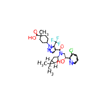 CC1(C(=O)O)CCC(n2ncc(C(=O)N(CC(O)c3ncccc3Cl)C3C[C@@H]4[C@H](C3)C4(C)C)c2C(F)(F)F)CC1